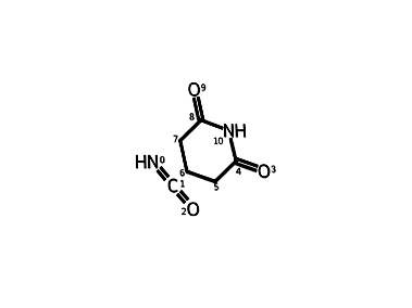 N=C=O.O=C1CCCC(=O)N1